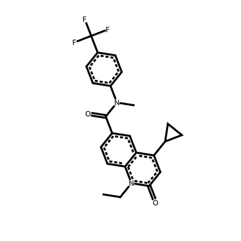 CCn1c(=O)cc(C2CC2)c2cc(C(=O)N(C)c3ccc(C(F)(F)F)cc3)ccc21